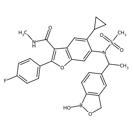 CNC(=O)c1c(-c2ccc(F)cc2)oc2cc(N(C(C)c3ccc4c(c3)COB4O)S(C)(=O)=O)c(C3CC3)cc12